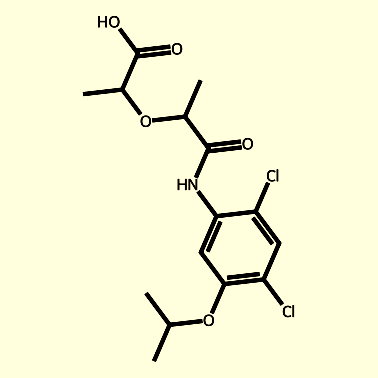 CC(C)Oc1cc(NC(=O)C(C)OC(C)C(=O)O)c(Cl)cc1Cl